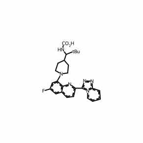 CC(C)(C)C(NC(=O)O)C1CCN(c2cc(F)cc3ccc(-c4nnc5ccccn45)nc23)CC1